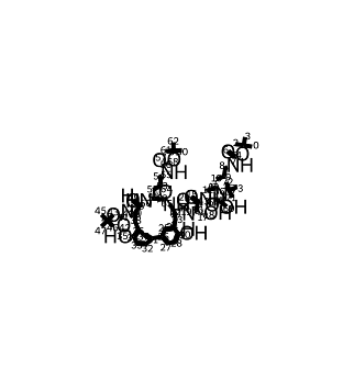 CC(C)(C)OC(=O)NCCC[C@@H](CNC(=O)[C@H](CO)NC(=O)[C@@H]1Cc2cc(ccc2O)-c2ccc(O)c(c2)C[C@H](NC(=O)OC(C)(C)C)C(=O)N[C@@H](CCCNC(=O)OC(C)(C)C)C(=O)N1)N(C(=O)O)C(C)(C)C